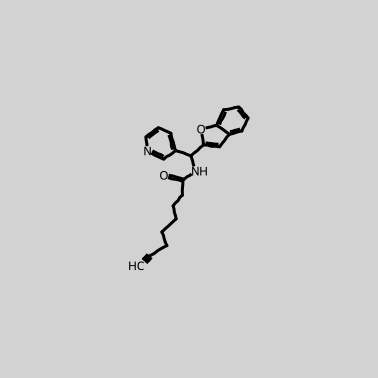 C#CCCCCCC(=O)NC(c1cccnc1)c1cc2ccccc2o1